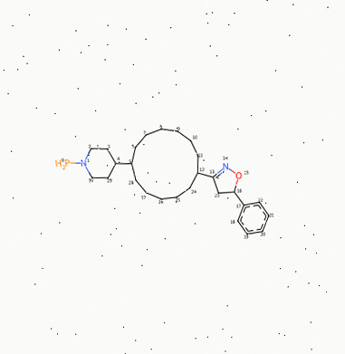 PN1CCC(C2CCCCCCC(C3=NOC(c4ccccc4)C3)CCCCC2)CC1